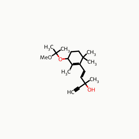 C#CC(C)(O)C=CC1=C(C)C(OC(C)(C)OC)CCC1(C)C